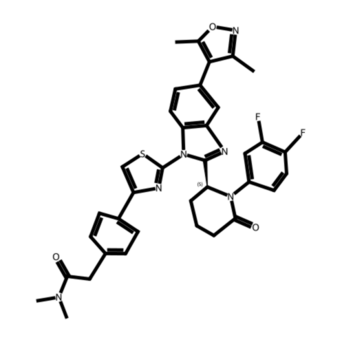 Cc1noc(C)c1-c1ccc2c(c1)nc([C@@H]1CCCC(=O)N1c1ccc(F)c(F)c1)n2-c1nc(-c2ccc(CC(=O)N(C)C)cc2)cs1